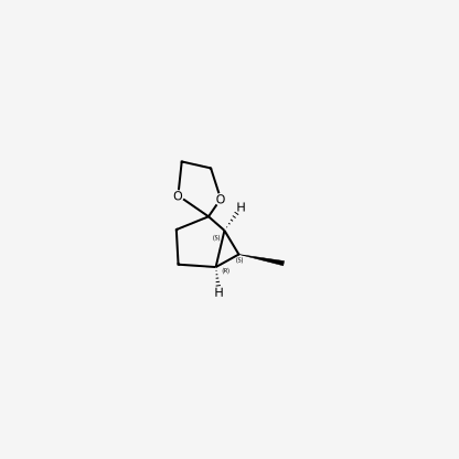 C[C@H]1[C@H]2CCC3(OCCO3)[C@@H]12